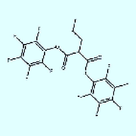 CCCC(C(=O)Oc1c(F)c(F)c(F)c(F)c1F)C(=O)Oc1c(F)c(F)c(F)c(F)c1F